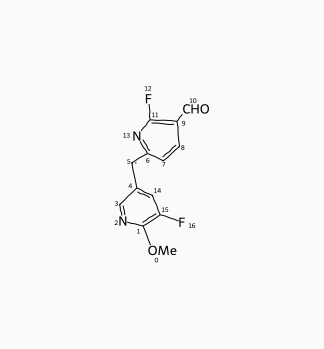 COc1ncc([CH]c2ccc(C=O)c(F)n2)cc1F